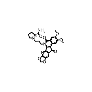 COc1cc2c3c(n(CCCN4CCC[C@H]4C(N)=O)c(=O)c2cc1OC)-c1nc2c(cc1C3=O)OCO2